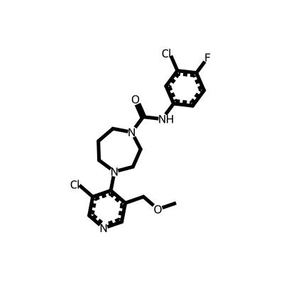 COCc1cncc(Cl)c1N1CCCN(C(=O)Nc2ccc(F)c(Cl)c2)CC1